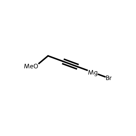 COCC#[C][Mg][Br]